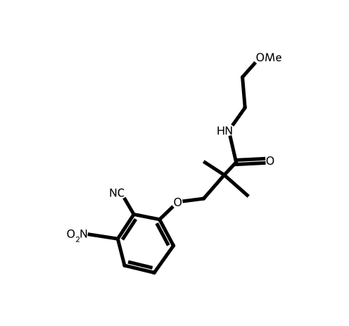 COCCNC(=O)C(C)(C)COc1cccc([N+](=O)[O-])c1C#N